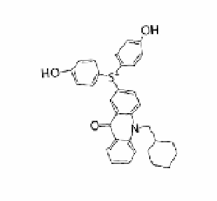 O=c1c2ccccc2n(CC2CCCCC2)c2ccc([S+](c3ccc(O)cc3)c3ccc(O)cc3)cc12